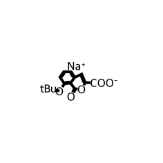 CC(C)(C)Oc1cccc2cc(C(=O)[O-])oc(=O)c12.[Na+]